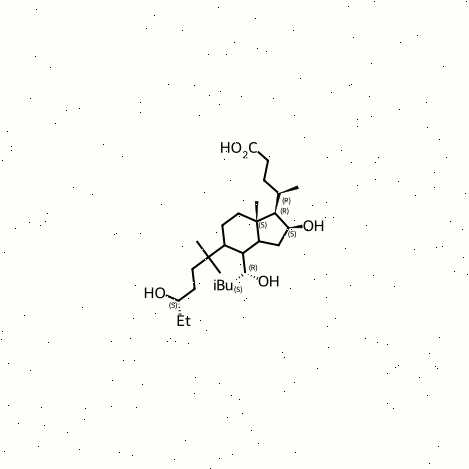 CC[C@H](O)CCC(C)(C)C1CC[C@@]2(C)C(C[C@H](O)[C@@H]2[C@H](C)CCC(=O)O)C1[C@H](O)[C@@H](C)CC